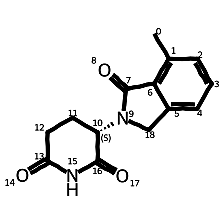 Cc1cccc2c1C(=O)N([C@H]1CCC(=O)NC1=O)C2